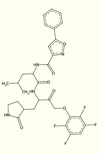 CC(C)CC(NC(=O)c1cc(-c2ccccc2)on1)C(=O)NC(CC1CCNC1=O)C(=O)COc1c(F)c(F)cc(F)c1F